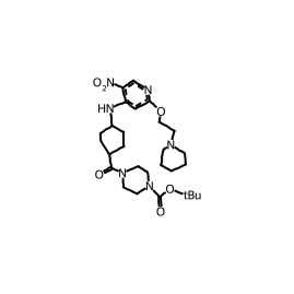 CC(C)(C)OC(=O)N1CCN(C(=O)C2CCC(Nc3cc(OCCN4CCCCC4)ncc3[N+](=O)[O-])CC2)CC1